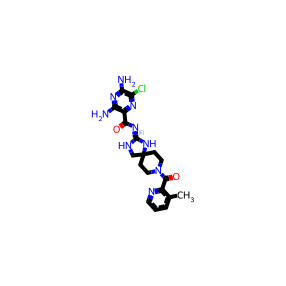 Cc1cccnc1C(=O)N1CCC2(CC1)CN/C(=N\C(=O)c1nc(Cl)c(N)nc1N)N2